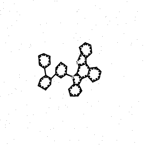 c1ccc(-c2ccccc2-c2cccc(-n3c4ccccc4c4c5ccccc5c5c6ccccc6sc5c43)c2)cc1